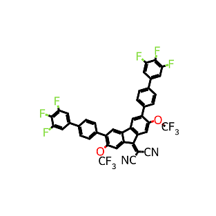 N#CC(C#N)=C1c2cc(OC(F)(F)F)c(-c3ccc(-c4cc(F)c(F)c(F)c4)cc3)cc2-c2cc(-c3ccc(-c4cc(F)c(F)c(F)c4)cc3)c(OC(F)(F)F)cc21